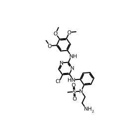 COc1cc(Nc2ncc(Cl)c(Nc3ccccc3N(CCN)S(C)(=O)=O)n2)cc(OC)c1OC